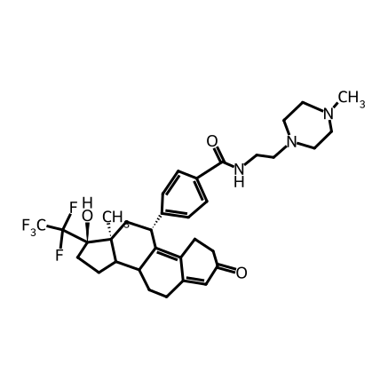 CN1CCN(CCNC(=O)c2ccc([C@H]3C[C@@]4(C)C(CC[C@]4(O)C(F)(F)C(F)(F)F)C4CCC5=CC(=O)CCC5=C43)cc2)CC1